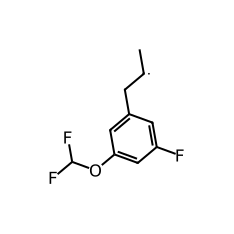 C[CH]Cc1cc(F)cc(OC(F)F)c1